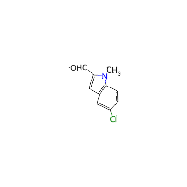 Cn1c([C]=O)cc2cc(Cl)ccc21